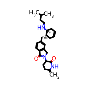 C=C1CCC(N2Cc3cc(C[C@H]4CC=CC[C@@H]4NCCC(C)C)ccc3C2=O)C(=O)N1